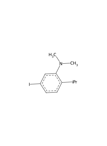 CC(C)c1ccc(I)cc1N(C)C